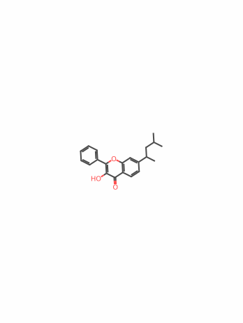 CC(C)CC(C)c1ccc2c(=O)c(O)c(-c3ccccc3)oc2c1